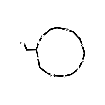 OCC1COCCNCCOCCOCCNCCO1